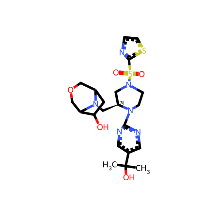 CC(C)(O)c1cnc(N2CCN(S(=O)(=O)c3nccs3)C[C@@H]2CN2C3COCC2C(O)C3)nc1